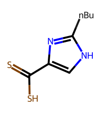 CCCCc1nc(C(=S)S)c[nH]1